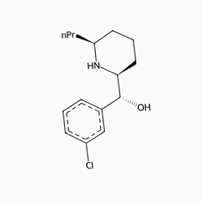 CCC[C@H]1CCC[C@@H]([C@H](O)c2cccc(Cl)c2)N1